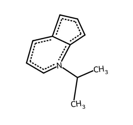 CC(C)n1cccc2cccc1-2